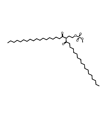 CCCCCCCCCCCCCCCCCC(=O)N(CCOS(=O)(=O)OC)C(=O)CCCCCCCCCCCCCCCCC